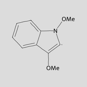 COc1[c]n(OC)c2ccccc12